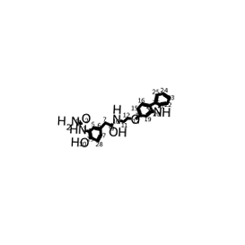 NC(=O)Nc1cc(CC(O)NCCOc2ccc3c(c2)[nH]c2ccccc23)ccc1O